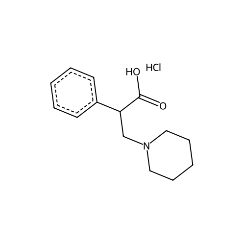 Cl.O=C(O)C(CN1CCCCC1)c1ccccc1